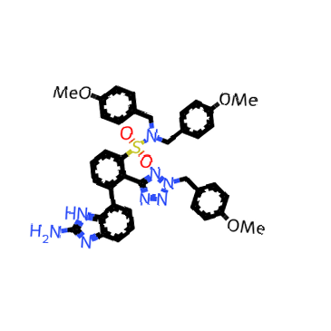 COc1ccc(CN(Cc2ccc(OC)cc2)S(=O)(=O)c2cccc(-c3cccc4nc(N)[nH]c34)c2-c2nnn(Cc3ccc(OC)cc3)n2)cc1